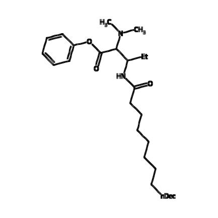 CCCCCCCCCCCCCCCCCC(=O)NC(CC)C(C(=O)Oc1ccccc1)N(C)C